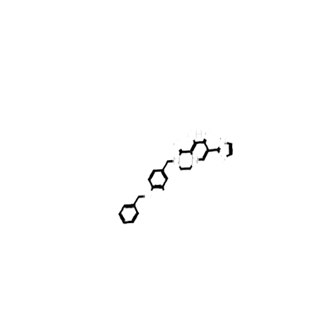 O=C1c2c(O)c(=O)c(-c3nccs3)cn2CCN1Cc1ccc(OCc2ccccc2)c(Cl)c1